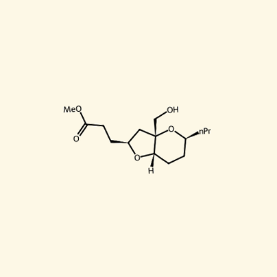 CCC[C@H]1CC[C@@H]2O[C@@H](CCC(=O)OC)C[C@]2(CO)O1